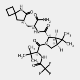 CC(C)(C)[C@H](NC(=O)C(F)(F)F)C(=O)N1C[C@H]2[C@@H]([C@H]1C(=O)N[C@@H](C[C@@H]1CC3(CCC3)NC1=O)C(N)=O)C2(C)C